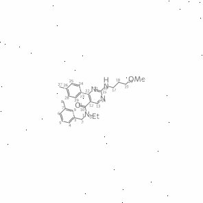 CCN(Cc1cccc(C)c1)C(=O)c1cnc(NCCCOC)nc1-c1ccc(C)cc1